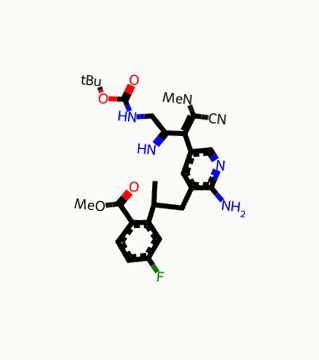 CN/C(C#N)=C(\C(=N)CNC(=O)OC(C)(C)C)c1cnc(N)c(CC(C)c2cc(F)ccc2C(=O)OC)c1